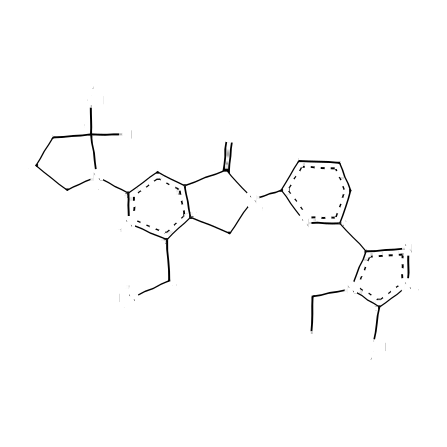 CCn1c(C)nnc1-c1cccc(N2Cc3c(cc(N4CCCC4(C)C)nc3CN)C2=O)n1